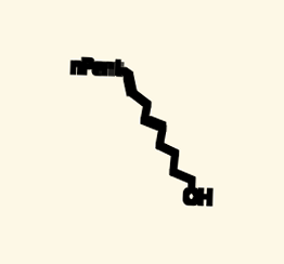 CCCCC/C=C/C/C=C/CCCCO